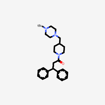 CC(C)(C)N1CCN(CC2CCN(C(=O)CC(c3ccccc3)c3ccccc3)CC2)CC1